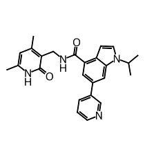 Cc1cc(C)c(CNC(=O)c2cc(-c3cccnc3)cc3c2ccn3C(C)C)c(=O)[nH]1